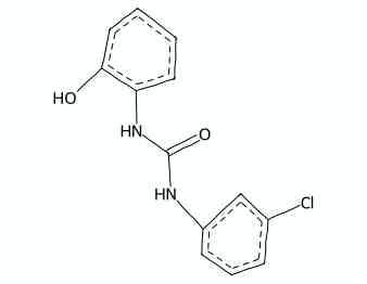 O=C(Nc1cccc(Cl)c1)Nc1ccccc1O